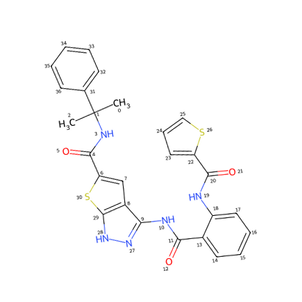 CC(C)(NC(=O)c1cc2c(NC(=O)c3ccccc3NC(=O)c3cccs3)n[nH]c2s1)c1ccccc1